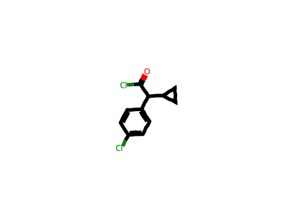 O=C(Cl)C(c1ccc(Cl)cc1)C1CC1